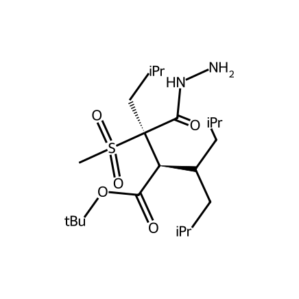 CC(C)CC(CC(C)C)[C@@H](C(=O)OC(C)(C)C)[C@](CC(C)C)(C(=O)NN)S(C)(=O)=O